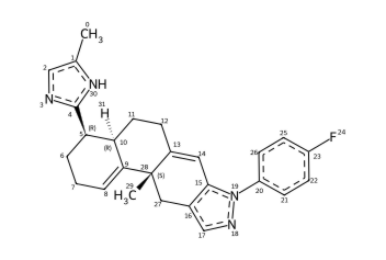 Cc1cnc([C@@H]2CCC=C3[C@@H]2CCC2=Cc4c(cnn4-c4ccc(F)cc4)C[C@@]23C)[nH]1